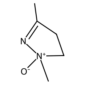 CC1=N[N+](C)([O-])CC1